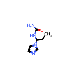 CCC(NC(N)=O)n1ccnc1